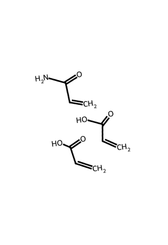 C=CC(=O)O.C=CC(=O)O.C=CC(N)=O